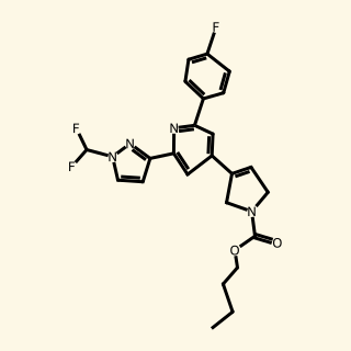 CCCCOC(=O)N1CC=C(c2cc(-c3ccc(F)cc3)nc(-c3ccn(C(F)F)n3)c2)C1